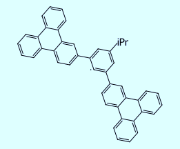 CC(C)c1cc(-c2ccc3c4ccccc4c4ccccc4c3c2)[c]c(-c2ccc3c4ccccc4c4ccccc4c3c2)c1